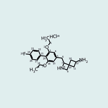 CCOc1cc(CC2NCC23CC(N)C3)cc(OCC)c1-c1ccc(F)cc1.Cl